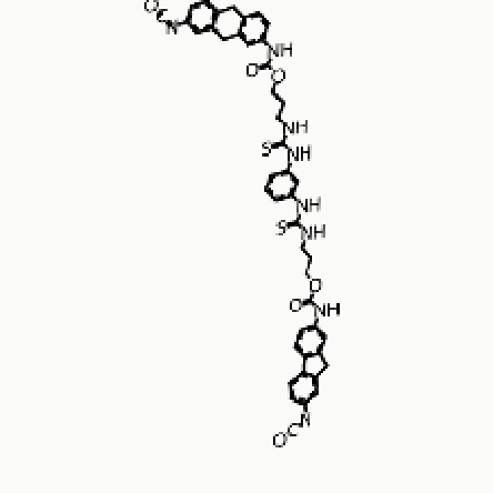 O=C=Nc1ccc2c(c1)Cc1cc(NC(=O)OCCCNC(=S)Nc3cccc(NC(=S)NCCCOC(=O)Nc4ccc5c(c4)Cc4cc(N=C=O)ccc4-5)c3)ccc1C2